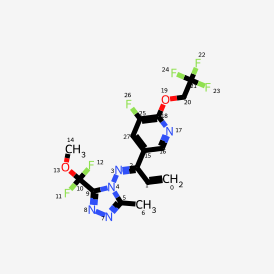 C=C/C(=N\n1c(C)nnc1C(F)(F)OC)c1cnc(OCC(F)(F)F)c(F)c1